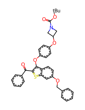 CC(C)(C)OC(=O)N1CC(Oc2ccc(Oc3c(C(=O)c4ccccc4)sc4cc(OCc5ccccc5)ccc34)cc2)C1